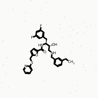 CCc1cccc(CNC[C@@H](O)[C@H](Cc2cc(F)cc(F)c2)NC(=O)c2ccc(CSc3ccccn3)o2)c1